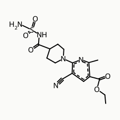 CCOC(=O)c1cc(C#N)c(N2CCC(C(=O)NS(N)(=O)=O)CC2)nc1C